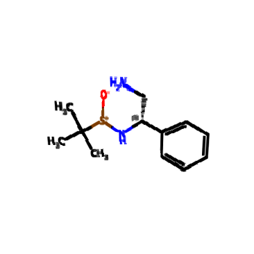 CC(C)(C)[S+]([O-])N[C@H](CN)c1ccccc1